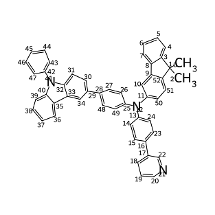 CC1(C)c2ccccc2-c2cc(N(c3ccc(-c4cccnc4)cc3)c3ccc(-c4ccc5c(c4)c4ccccc4n5-c4ccccc4)cc3)ccc21